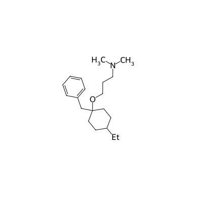 CCC1CCC(Cc2ccccc2)(OCCCN(C)C)CC1